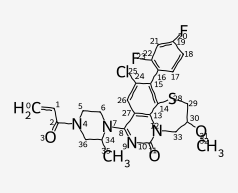 C=CC(=O)N1CCN(c2nc(=O)n3c4c(c(-c5ccc(F)cc5F)c(Cl)cc24)SCC(OC)C3)C(C)C1